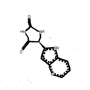 O=C1NC(=O)[C@H](c2cc3ncccc3[nH]2)N1